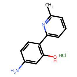 Cc1cccc(-c2ccc(N)cc2O)n1.Cl